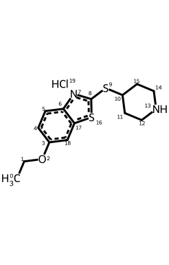 CCOc1ccc2nc(SC3CCNCC3)sc2c1.Cl